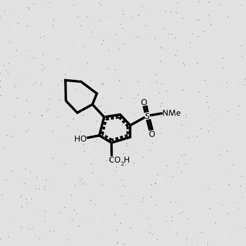 CNS(=O)(=O)c1cc(C(=O)O)c(O)c(C2CCCCC2)c1